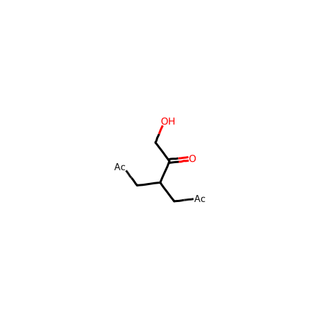 CC(=O)CC(CC(C)=O)C(=O)CO